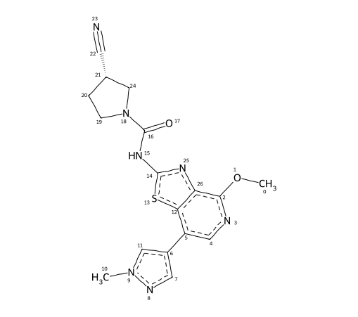 COc1ncc(-c2cnn(C)c2)c2sc(NC(=O)N3CC[C@H](C#N)C3)nc12